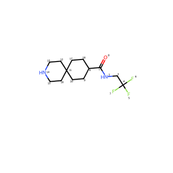 O=C(NCC(F)(F)F)C1CCC2(CCNCC2)CC1